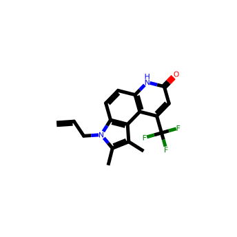 C=CCn1c(C)c(C)c2c3c(C(F)(F)F)cc(=O)[nH]c3ccc21